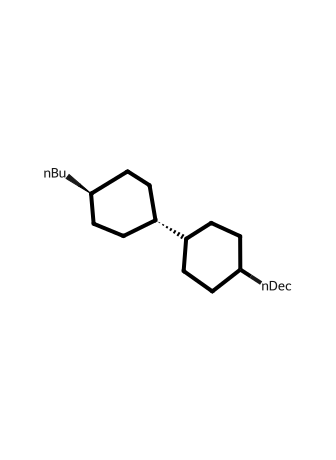 CCCCCCCCCCC1CCC([C@H]2CC[C@H](CCCC)CC2)CC1